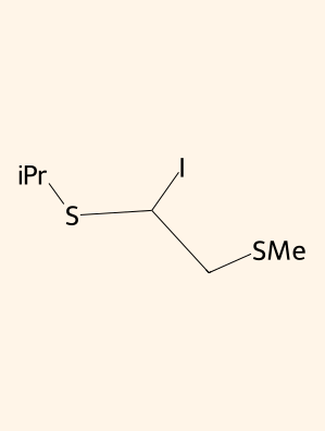 CSCC(I)SC(C)C